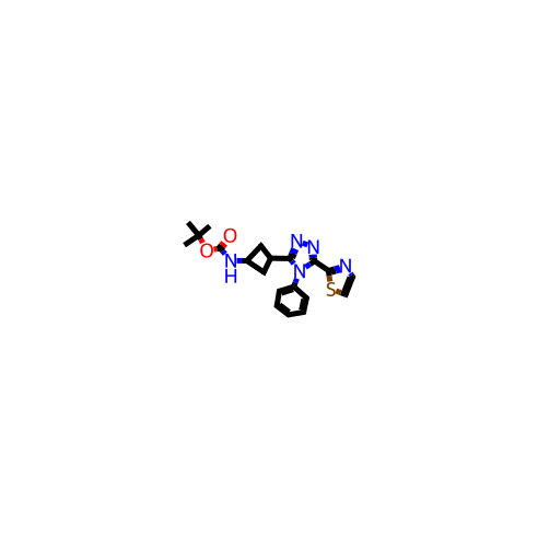 CC(C)(C)OC(=O)NC1CC(c2nnc(-c3nccs3)n2-c2ccccc2)C1